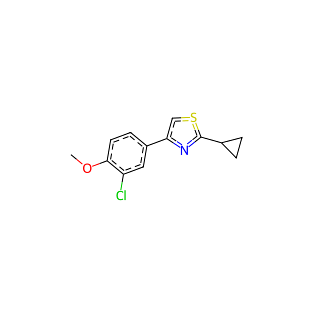 COc1ccc(-c2csc(C3CC3)n2)cc1Cl